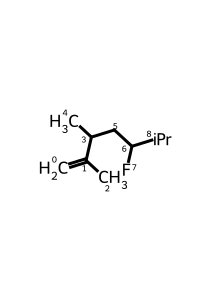 C=C(C)C(C)CC(F)C(C)C